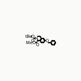 COC(=O)[C@@H]1c2ccc(OCc3ccccc3)cc2CCN1C(=O)OC(C)(C)C